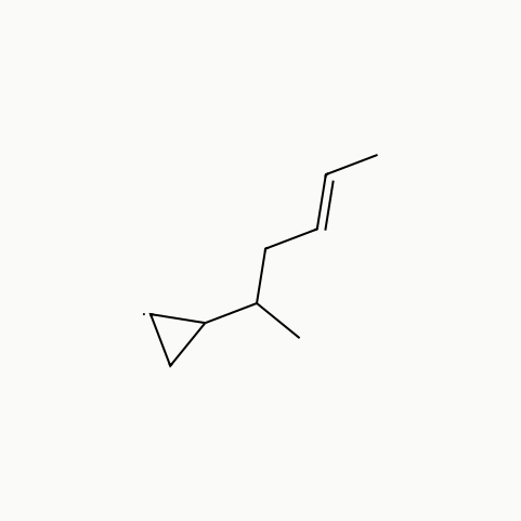 CC=CCC(C)C1[CH]C1